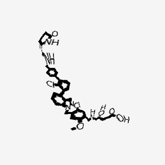 COc1cc(Cn2ncc3c(-c4cccc(-c5ccc(CNC[C@@H]6CCC(=O)N6)cc5)c4Cl)cccc32)c(Cl)cc1CNC[C@H](O)CC(=O)O